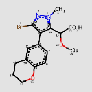 Cn1nc(Br)c(-c2ccc3c(c2)CCCO3)c1C(OC(C)(C)C)C(=O)O